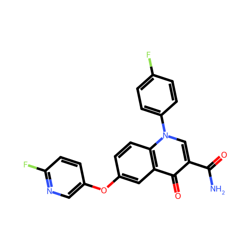 NC(=O)c1cn(-c2ccc(F)cc2)c2ccc(Oc3ccc(F)nc3)cc2c1=O